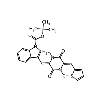 Cn1c(=O)/c(=C/c2cn(C(=O)OC(C)(C)C)c3ccccc23)n(C)c(=O)/c1=C/c1cccs1